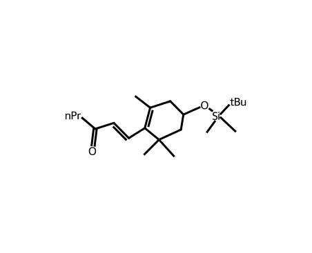 CCCC(=O)C=CC1=C(C)CC(O[Si](C)(C)C(C)(C)C)CC1(C)C